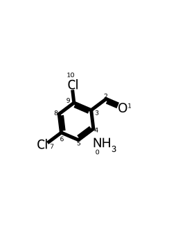 N.O=Cc1ccc(Cl)cc1Cl